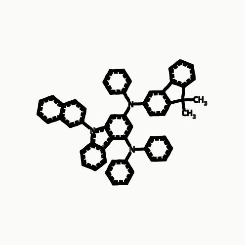 CC1(C)c2ccccc2-c2cc(N(c3ccccc3)c3cc(N(c4ccccc4)c4ccccc4)c4c5ccccc5n(-c5ccc6ccccc6c5)c4c3)ccc21